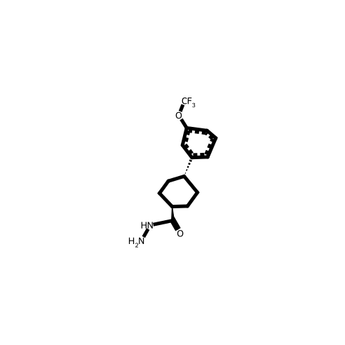 NNC(=O)[C@H]1CC[C@H](c2cccc(OC(F)(F)F)c2)CC1